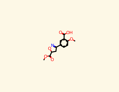 COC(=O)C1CC(c2ccc(OC)c(C(=O)O)c2)=NO1